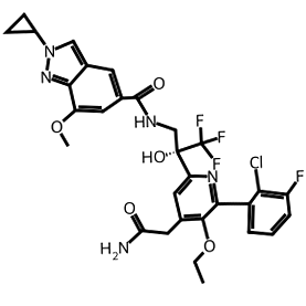 CCOc1c(CC(N)=O)cc([C@@](O)(CNC(=O)c2cc(OC)c3nn(C4CC4)cc3c2)C(F)(F)F)nc1-c1cccc(F)c1Cl